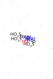 O=S(=O)(O)c1cc(S(=O)(=O)O)c2ccc(Nc3nc(O)nc(Nc4ccc5c(S(=O)(=O)O)cccc5c4)n3)cc2c1